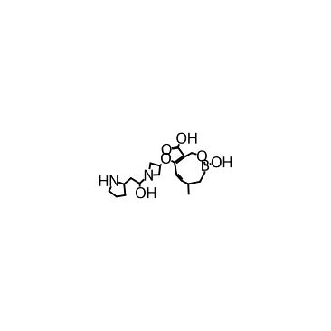 CC1/C=C\C(OC2CN(C(O)CC3CCCN3)C2)=C(\C(=O)O)COB(O)CC1